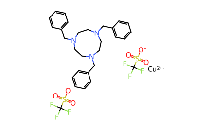 O=S(=O)([O-])C(F)(F)F.O=S(=O)([O-])C(F)(F)F.[Cu+2].c1ccc(CN2CCN(Cc3ccccc3)CCN(Cc3ccccc3)CC2)cc1